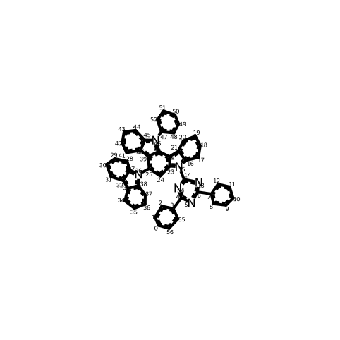 c1ccc(-c2nc(-c3ccccc3)nc(-n3c4ccccc4c4c3cc(-n3c5ccccc5c5ccccc53)c3c5ccccc5n(-c5ccccc5)c34)n2)cc1